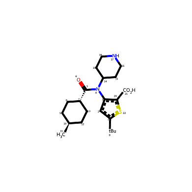 CC(C)(C)c1cc(N(C(=O)[C@H]2CC[C@H](C)CC2)C2CCNCC2)c(C(=O)O)s1